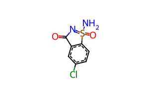 NS1(=O)=NC(=O)c2cc(Cl)ccc21